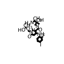 CC(O)OCn1nc(C(=O)N2CC(O)([C@H](C)N)C2)c(Nc2ccc(I)cc2F)cc1=O